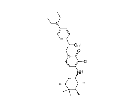 CCN(CC)c1ccc(C(O)Cn2ncc(N[C@@H]3C[C@H](C)C(C)(C)[C@H](C)[C@H]3C)c(Cl)c2=O)cc1